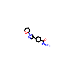 NNC(=O)C1CCC(c2cnn(C3CCCCO3)c2)CC1